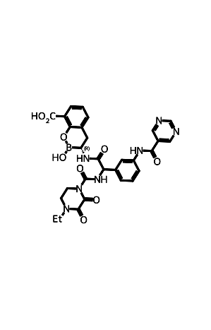 CCN1CCN(C(=O)NC(C(=O)N[C@H]2Cc3cccc(C(=O)O)c3OB2O)c2cccc(NC(=O)c3cncnc3)c2)C(=O)C1=O